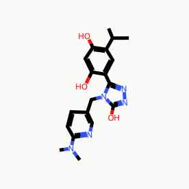 CC(C)c1cc(-c2nnc(O)n2Cc2ccc(N(C)C)nc2)c(O)cc1O